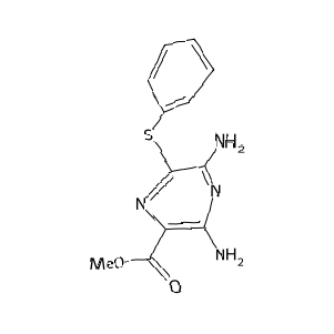 COC(=O)c1nc(Sc2ccccc2)c(N)nc1N